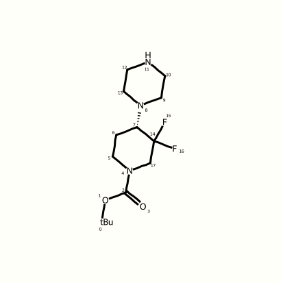 CC(C)(C)OC(=O)N1CC[C@H](N2CCNCC2)C(F)(F)C1